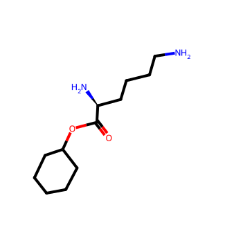 NCCCC[C@H](N)C(=O)OC1CCCCC1